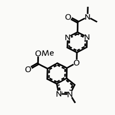 COC(=O)c1cc(Oc2cnc(C(=O)N(C)C)nc2)c2cn(C)nc2c1